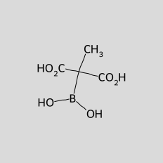 CC(B(O)O)(C(=O)O)C(=O)O